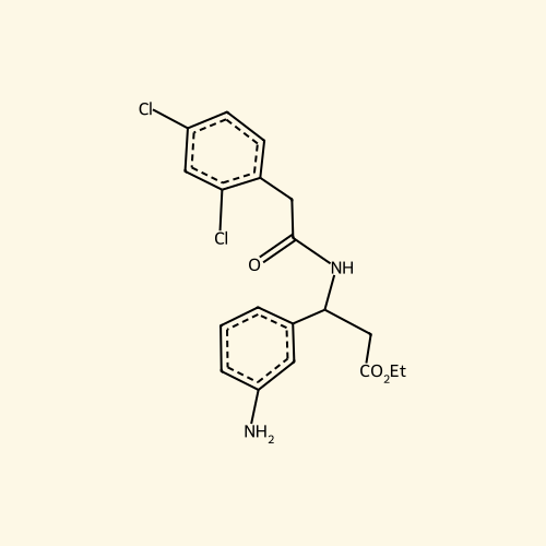 CCOC(=O)CC(NC(=O)Cc1ccc(Cl)cc1Cl)c1cccc(N)c1